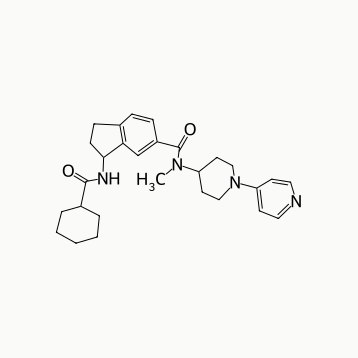 CN(C(=O)c1ccc2c(c1)C(NC(=O)C1CCCCC1)CC2)C1CCN(c2ccncc2)CC1